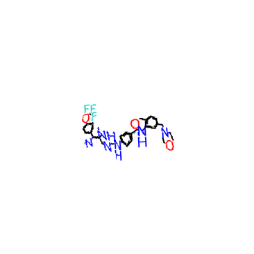 C=N/C(=C(\C=N/CNc1ccc(C(=O)Nc2cc(CN3CCOCC3)ccc2C)cc1)NC)c1ccc(OC(F)(F)F)cc1